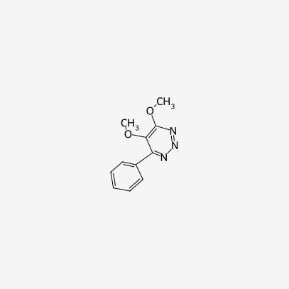 COc1nnnc(-c2ccccc2)c1OC